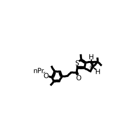 CCCOc1c(C)cc(CCC(=O)c2sc(C)c3c2C[C@@H]2[C@H]3C2(C)C)cc1C